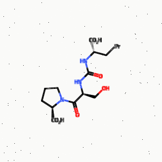 CC(C)C[C@H](NC(=O)N[C@@H](CO)C(=O)N1CCC[C@@H]1C(=O)O)C(=O)O